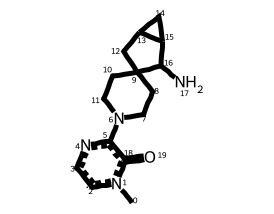 Cn1[c]cnc(N2CCC3(CC2)CC2CC2C3N)c1=O